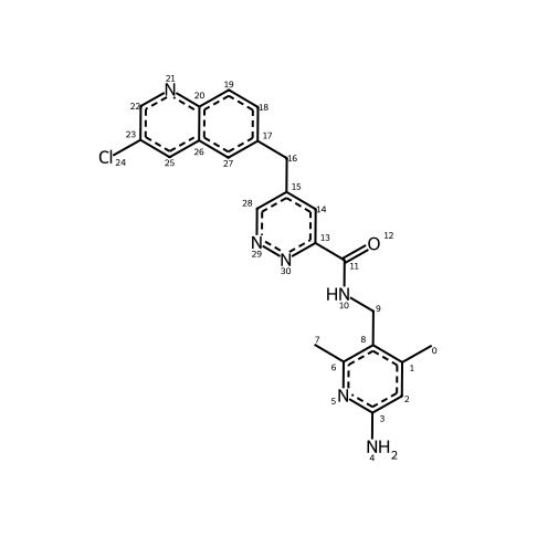 Cc1cc(N)nc(C)c1CNC(=O)c1cc(Cc2ccc3ncc(Cl)cc3c2)cnn1